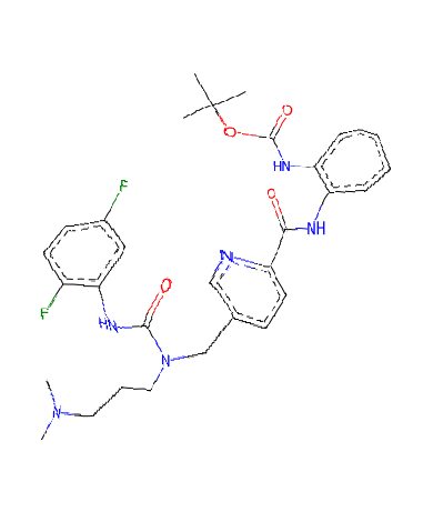 CN(C)CCCN(Cc1ccc(C(=O)Nc2ccccc2NC(=O)OC(C)(C)C)nc1)C(=O)Nc1cc(F)ccc1F